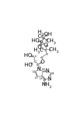 CC(C)(CCO[C@H]([C@H](O)CO)n1ccc2c(N)ncnc21)OP(=O)(O)C(C)(C)O